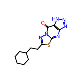 O=c1c2[nH]nnc2nc2sc(CCC3CCCCC3)nn12